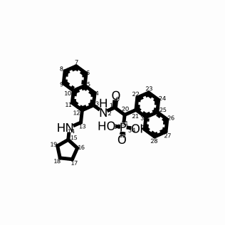 O=C(Nc1cc2ccccc2cc1CNC1CCCC1)C(c1cccc2ccccc12)P(=O)(O)O